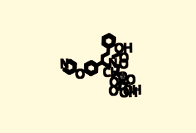 CC(C(CCc1ccccc1)c1ccc(Oc2ccncc2)cc1)N(CC(=O)O)C(=O)C1COC(C(=O)O)(C(=O)O)O1